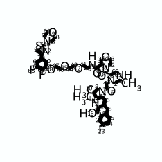 C[C@@H]1CN(CC(=O)N2CC(C)(C)c3nc(CO)c(Cc4ccc(F)cc4)cc32)[C@@H](C(=O)N2CCOCC2C(=O)NCCOCCOCCOc2cc(-c3csc(N4CCOCC4)n3)cc(F)c2F)CN1